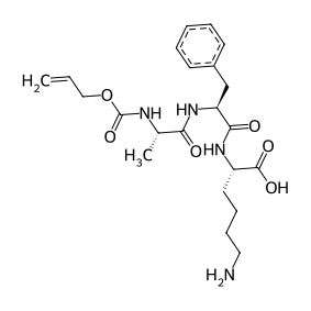 C=CCOC(=O)N[C@@H](C)C(=O)N[C@@H](Cc1ccccc1)C(=O)N[C@@H](CCCCN)C(=O)O